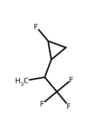 CC(C1CC1F)C(F)(F)F